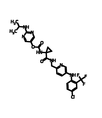 CC(C)Nc1ncc(OC(=O)NC2(C(=O)NCc3ccc(Nc4ccc(Cl)cc4C(F)(F)F)cn3)CC2)cn1